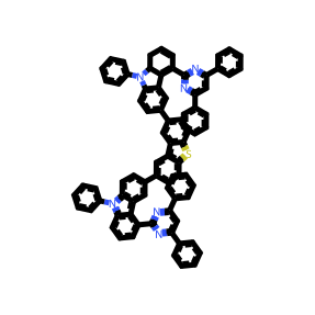 C1=CC(c2nc(-c3ccccc3)cc(-c3ccccc3)n2)=C2c3cc(-c4ccc5sc6ccc(-c7ccc8c(c7)c7c(-c9nc(-c%10ccccc%10)cc(-c%10ccccc%10)n9)cccc7n8-c7ccccc7)cc6c5c4)ccc3N(c3ccccc3)C2C1